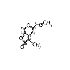 COCc1cc2c(C)c(=O)oc-2co1